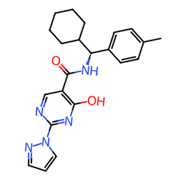 Cc1ccc([C@@H](NC(=O)c2cnc(-n3cccn3)nc2O)C2CCCCC2)cc1